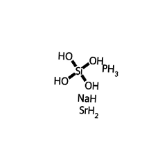 O[Si](O)(O)O.P.[NaH].[SrH2]